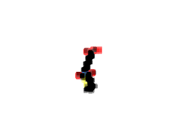 O=C(O)CCCCCCN1C(=O)SC(=Cc2cccs2)C1=O